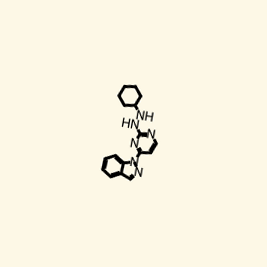 c1ccc2c(c1)cnn2-c1ccnc(NNC2CCCCC2)n1